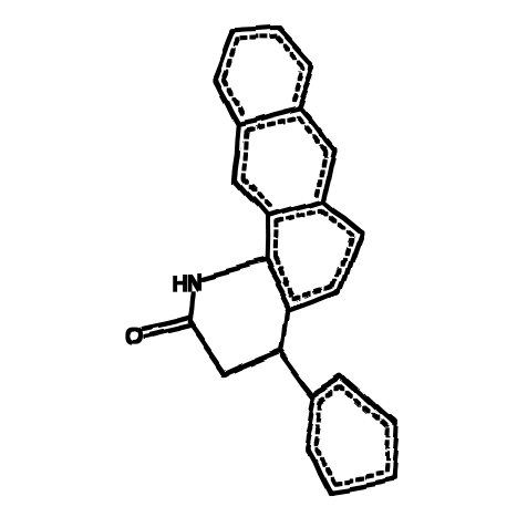 O=C1CC(c2ccccc2)c2ccc3cc4ccccc4cc3c2N1